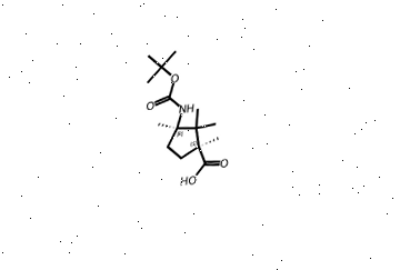 CC(C)(C)OC(=O)N[C@]1(C)CC[C@](C)(C(=O)O)C1(C)C